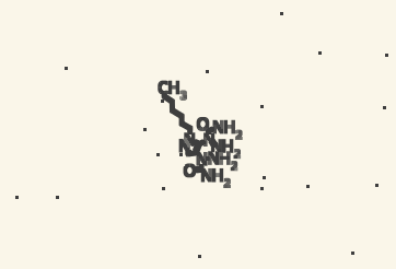 CCCCCCCn1ncc(N(N)C(N)=O)c1N(N)C(N)=O